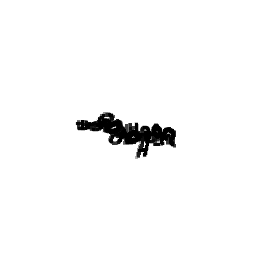 CCC1(c2cccc(OC(=O)Nc3ccc(C(=O)Nc4ccc(C(=O)OC(C)(C)C)cc4)cc3)c2)CCCCN(C)C1